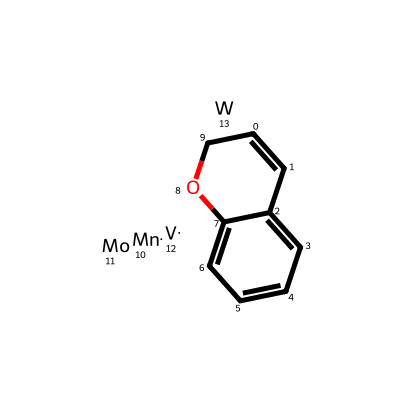 C1=Cc2ccccc2OC1.[Mn].[Mo].[V].[W]